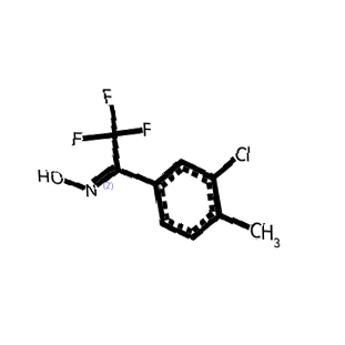 Cc1ccc(/C(=N/O)C(F)(F)F)cc1Cl